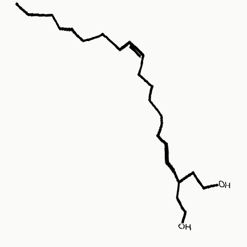 CCCCCCCC/C=C\CCCCCCC[C](CCO)CCO